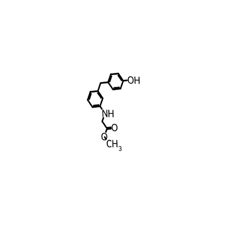 COC(=O)CNc1cccc(Cc2ccc(O)cc2)c1